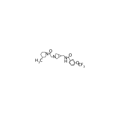 CC1CCCN(C(=O)CN2CC3C(CNC(=O)c4cccc(OC(F)(F)F)c4)C3C2)C1